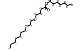 CCCCCCCOCCOCCCC(=O)OC(C)CCCCCC